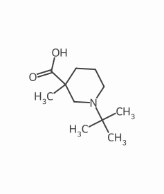 CC1(C(=O)O)CCCN(C(C)(C)C)C1